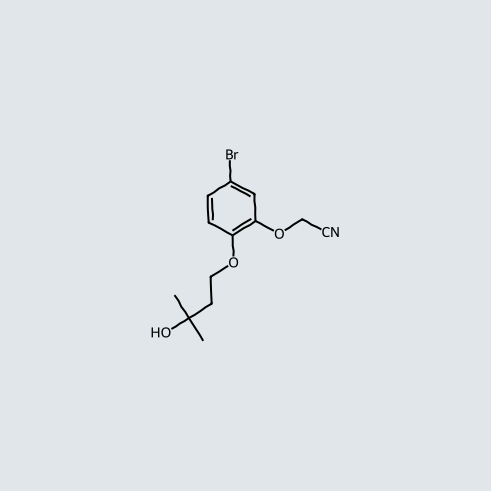 CC(C)(O)CCOc1ccc(Br)cc1OCC#N